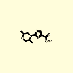 COC(=O)c1csc(N2CC(C)OCC2C)n1